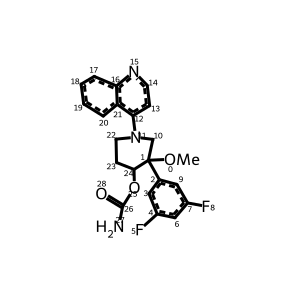 COC1(c2cc(F)cc(F)c2)CN(c2ccnc3ccccc23)CCC1OC(N)=O